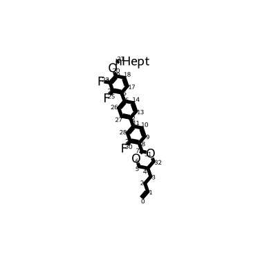 C=CCCC1COC(c2ccc(-c3ccc(-c4ccc(OCCCCCCC)c(F)c4F)cc3)cc2F)OC1